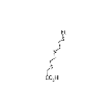 [CH2]CSCCSCCSCC(=O)O